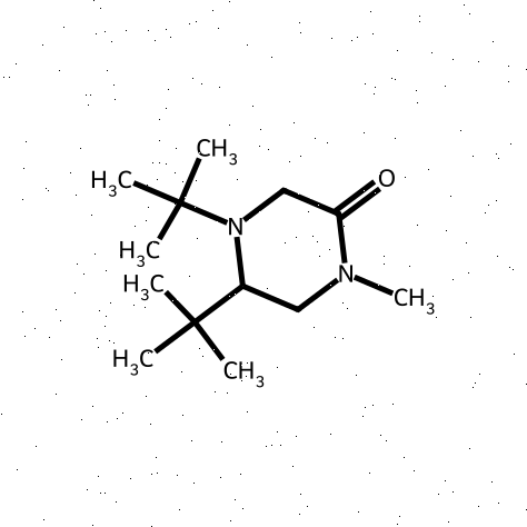 CN1CC(C(C)(C)C)N(C(C)(C)C)CC1=O